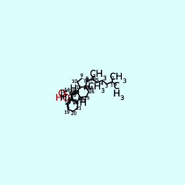 CC(C)CCC[C@@H](C)[C@H]1CCC2[C@@H]3[C@@H](C=O)[C@]4(O)C=CCC[C@]4(C)[C@H]3CC[C@@]21C